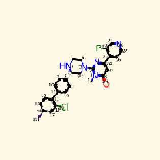 Cn1c(N2CCN[C@@H](c3ccc(-c4ccc(I)cc4Cl)cc3)C2)nc(-c2ccncc2F)cc1=O